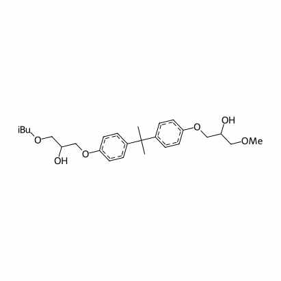 CCC(C)OCC(O)COc1ccc(C(C)(C)c2ccc(OCC(O)COC)cc2)cc1